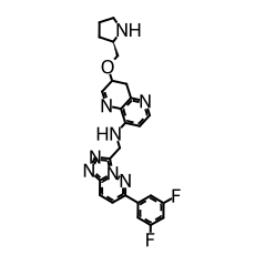 Fc1cc(F)cc(-c2ccc3nnc(CNc4ccnc5c4N=CC(OC[C@H]4CCCN4)C5)n3n2)c1